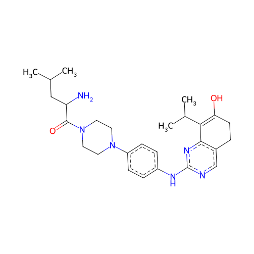 CC(C)CC(N)C(=O)N1CCN(c2ccc(Nc3ncc4c(n3)C(C(C)C)=C(O)CC4)cc2)CC1